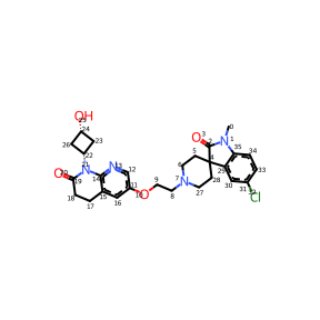 CN1C(=O)C2(CCN(CCOc3cnc4c(c3)CCC(=O)N4[C@H]3C[C@@H](O)C3)CC2)c2cc(Cl)ccc21